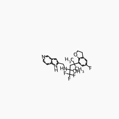 CC(C)(CC(O)(NCc1cc2cnccc2[nH]1)C(F)(F)F)c1cc(F)cc2c1OCC2